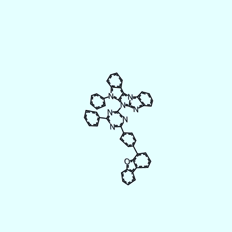 c1ccc(-c2nc(-c3ccc(-c4cccc5c4oc4ccccc45)cc3)nc(-n3c4c(c5ccccc5n4-c4ccccc4)n4c5ccccc5nc34)n2)cc1